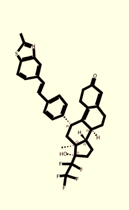 Cc1nc2cc(C=Cc3ccc([C@H]4C[C@@]5(C)[C@@H](CC[C@@]5(O)C(F)(F)C(F)(F)F)[C@@H]5CCC6=CC(=O)CCC6=C54)cc3)ccc2s1